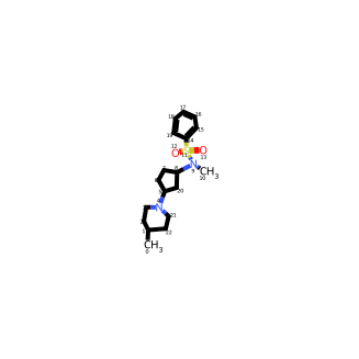 CC1CCN(C2CCC(N(C)S(=O)(=O)c3ccccc3)C2)CC1